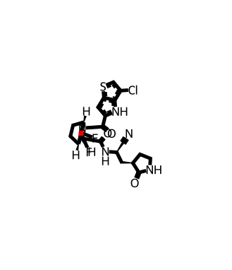 N#C[C@@H](C[C@H]1CCNC1=O)NC(=O)[C@@H]1[C@@H]2CC[C@@H](CC2(F)F)N1C(=O)c1cc2scc(Cl)c2[nH]1